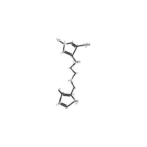 CNc1c[s+]([O-])nc1NCCSCc1[nH]cnc1C